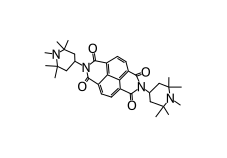 CN1C(C)(C)CC(N2C(=O)c3ccc4c5c(ccc(c35)C2=O)C(=O)N(C2CC(C)(C)N(C)C(C)(C)C2)C4=O)CC1(C)C